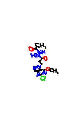 COc1nc(Cl)nc2cnn(CCC(=O)NNC(C)=O)c12